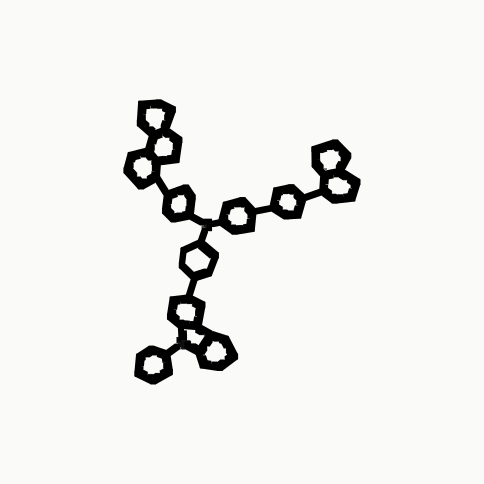 C1=C(c2ccc3c(c2)c2ccccc2n3-c2ccccc2)CCC(N(c2ccc(-c3ccc(-c4cccc5ccccc45)cc3)cc2)c2ccc(-c3cccc4c3ccc3ccccc34)cc2)=C1